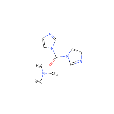 CN(C)C=O.O=C(n1ccnc1)n1ccnc1